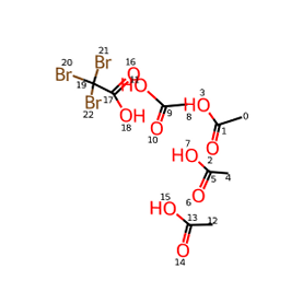 CC(=O)O.CC(=O)O.CC(=O)O.CC(=O)O.O=C(O)C(Br)(Br)Br